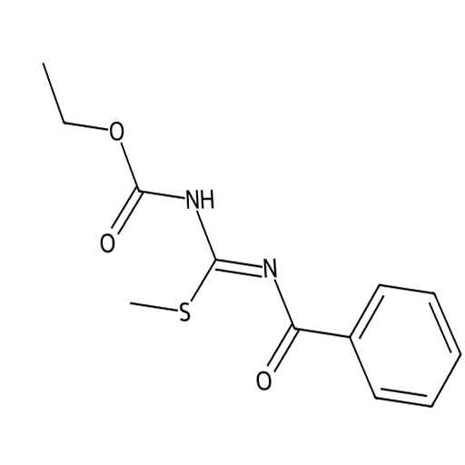 CCOC(=O)NC(=NC(=O)c1ccccc1)SC